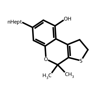 CCCCCCCc1cc(O)c2c(c1)OC(C)(C)C1=C2CCS1